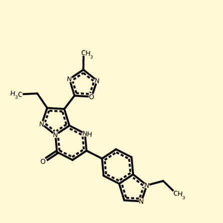 CCc1nn2c(=O)cc(-c3ccc4c(cnn4CC)c3)[nH]c2c1-c1nc(C)no1